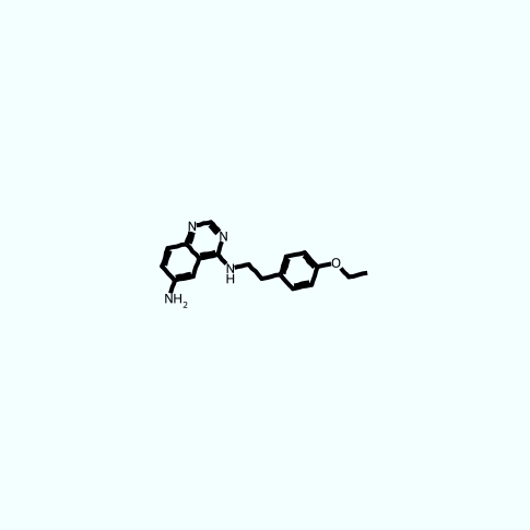 CCOc1ccc(CCNc2ncnc3ccc(N)cc23)cc1